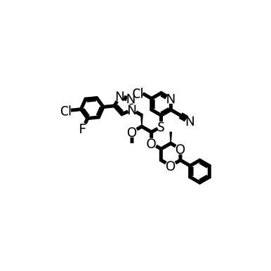 CO[C@@H](Cn1cc(-c2ccc(Cl)c(F)c2)nn1)C(OC1COC(c2ccccc2)O[C@@H]1C)Sc1cc(Cl)cnc1C#N